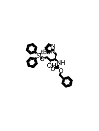 CC(C)(C)[Si](OC[C@@H](O)[C@@H](Cn1cccn1)NC(=O)OCc1ccccc1)(c1ccccc1)c1ccccc1